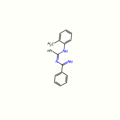 CCC/C(=N/C(=N)c1ccccc1)Nc1ccccc1C